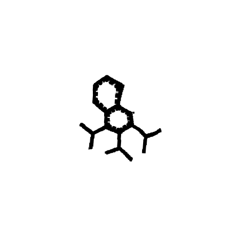 CC(C)c1[c]c2ccccc2c(C(C)C)c1C(C)C